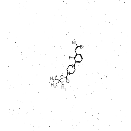 CC(C)(C)OC(=O)N1CCN(c2cccc(C=C(Br)Br)c2F)CC1